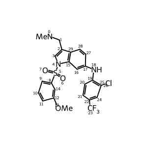 CNCc1cn(S(=O)(=O)c2cccc(OC)c2)c2cc(Nc3ccc(C(F)(F)F)cc3Cl)ccc12